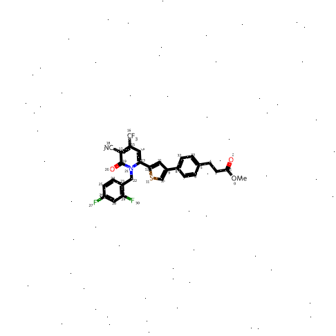 COC(=O)CCc1ccc(-c2csc(-c3cc(C(F)(F)F)c(C#N)c(=O)n3Cc3ccc(F)cc3F)c2)cc1